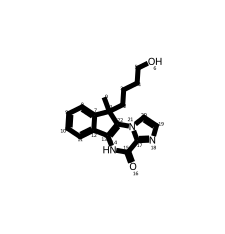 CC1(CCCCO)c2ccccc2-c2[nH]c(=O)c3nccn3c21